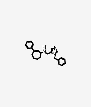 C1=C(c2ccccc2)CCCCC1NCc1cncn1Cc1ccccc1